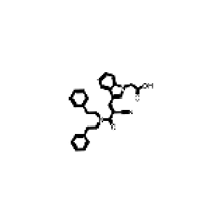 N#C/C(=C\c1cn(CC(=O)O)c2ccccc12)C(=O)N(CCc1ccccc1)CCc1ccccc1